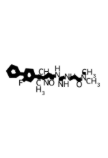 CN(C)C(=O)CCNC(=N)Nc1cc(C(C)(C)c2ccc(-c3ccccc3)c(F)c2)no1